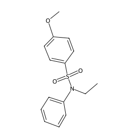 CCN(c1ccccc1)S(=O)(=O)c1ccc(OC)cc1